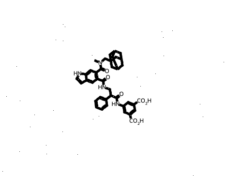 CN(CC12CC3CC(CC(C3)C1)C2)C(=O)c1cc2[nH]ccc2cc1C(=O)NCC(C(=O)Nc1cc(C(=O)O)cc(C(=O)O)c1)c1ccccc1